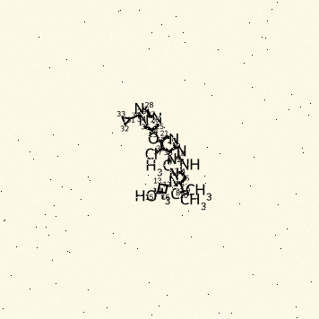 Cn1c(Nc2cc(C(C)(C)C)n([C@H]3C[C@H](O)C3)n2)nc2ncc(Oc3cnc4cnc(C5CC5)n4c3)c(Cl)c21